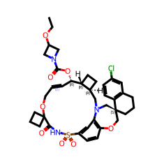 CCOC1CN(C(=O)O[C@H]2/C=C/COC3(CCC3)C(=O)NS(=O)(=O)c3ccc4c(c3)N(C[C@@H]3CC[C@H]32)C[C@@]2(CCCc3cc(Cl)ccc32)CO4)C1